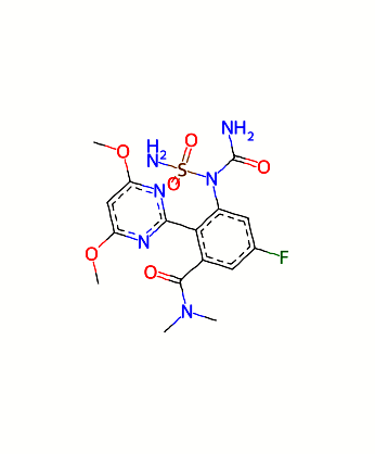 COc1cc(OC)nc(-c2c(C(=O)N(C)C)cc(F)cc2N(C(N)=O)S(N)(=O)=O)n1